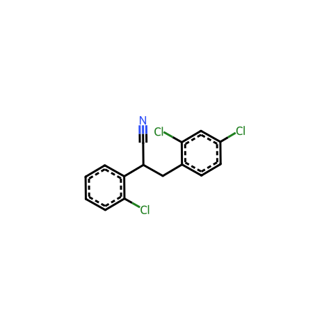 N#CC(Cc1ccc(Cl)cc1Cl)c1ccccc1Cl